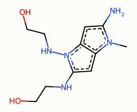 Cn1c(N)cc2c1cc(NCCO)n2NCCO